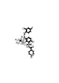 CC(C)(C)[Si](C)(C)Oc1c(N=C=Nc2ccc(F)cc2Cl)ccc(Cl)c1S(=O)(=O)NC(=O)C1CC[NH+]([O-])CC1